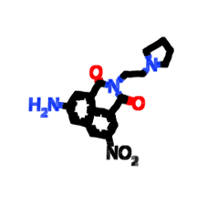 Nc1cc2c3c(cc([N+](=O)[O-])cc3c1)C(=O)N(CCN1CCCC1)C2=O